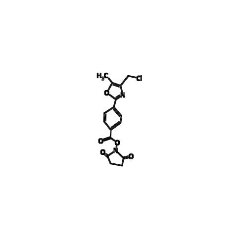 Cc1oc(-c2ccc(C(=O)ON3C(=O)CCC3=O)cc2)nc1CCl